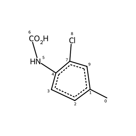 Cc1ccc(NC(=O)O)c(Cl)c1